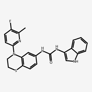 Cc1nc(N2CCSc3ccc(NC(=O)Nc4c[nH]c5ccccc45)cc32)ccc1F